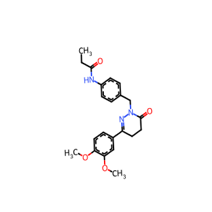 CCC(=O)Nc1ccc(CN2N=C(c3ccc(OC)c(OC)c3)CCC2=O)cc1